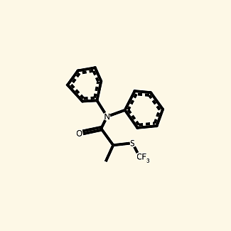 CC(SC(F)(F)F)C(=O)N(c1ccccc1)c1ccccc1